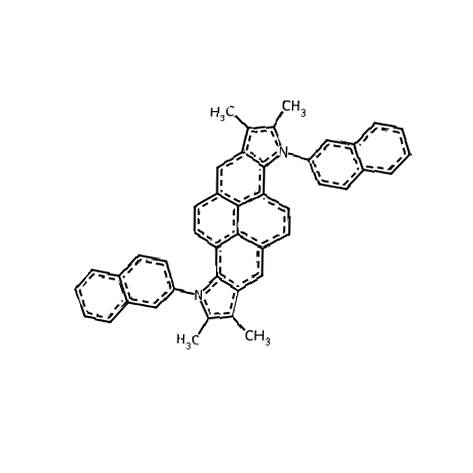 Cc1c(C)n(-c2ccc3ccccc3c2)c2c1cc1ccc3c4c(ccc2c14)cc1c(C)c(C)n(-c2ccc4ccccc4c2)c13